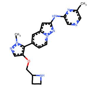 Cc1cncc(Nc2cc3cc(-c4c(OCC5CCN5)cnn4C)ccn3n2)n1